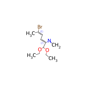 C=N/C(=C\C=C(/C)Br)C(OCC)OCC